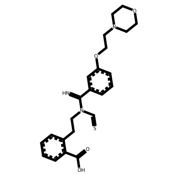 N=C(c1cccc(OCCN2CCOCC2)c1)N(C=S)CCc1ccccc1C(=O)O